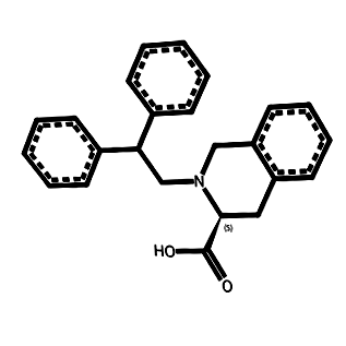 O=C(O)[C@@H]1Cc2ccccc2CN1CC(c1ccccc1)c1ccccc1